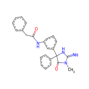 CN1C(=N)NC(c2ccccc2)(c2cccc(NC(=O)Cc3ccccc3)c2)C1=O